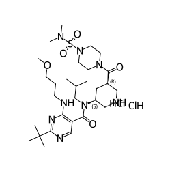 COCCCNc1nc(C(C)(C)C)ncc1C(=O)N(CC(C)C)[C@@H]1CNC[C@H](C(=O)N2CCN(S(=O)(=O)N(C)C)CC2)C1.Cl.Cl